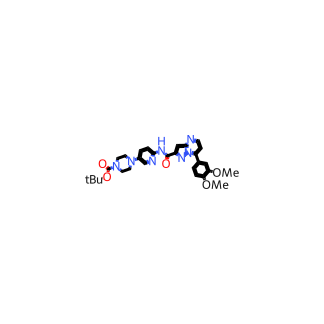 COc1ccc(-c2ccnc3cc(C(=O)Nc4ccc(N5CCN(C(=O)OC(C)(C)C)CC5)cn4)nn23)cc1OC